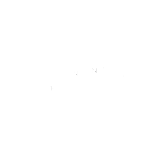 CC1(N2CCN(CCc3cc(F)ccc3F)CC2)CCOCC1